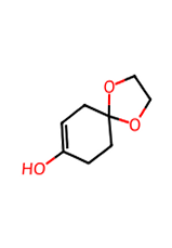 OC1=CCC2(CC1)OCCO2